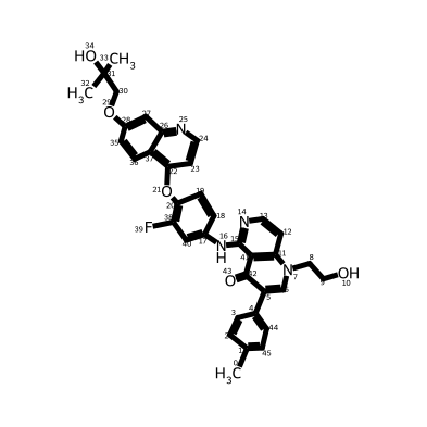 Cc1ccc(-c2cn(CCO)c3ccnc(Nc4ccc(Oc5ccnc6cc(OCC(C)(C)O)ccc56)c(F)c4)c3c2=O)cc1